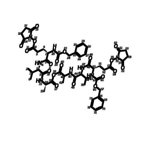 CC(C)[C@H](NC(=O)[C@H](CCC(=O)ON1C(=O)CCC1=O)NC(=O)OCc1ccccc1)C(=O)N[C@@H](C)C(=O)OC(=O)[C@H](C)NC(=O)[C@@H](NC(=O)[C@H](CCC(=O)ON1C(=O)CCC1=O)NC(=O)OCc1ccccc1)C(C)C